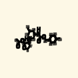 CC(=O)O[C@@H]1OCC[C@@H]1NC[C@@H](CC(C)C)NC(=O)OCc1ccc(C)cc1